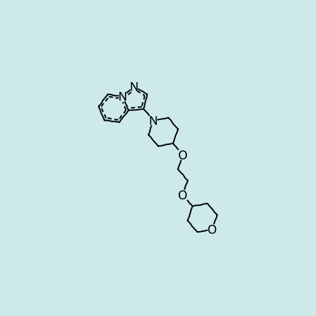 c1ccn2ncc(N3CCC(OCCOC4CCOCC4)CC3)c2c1